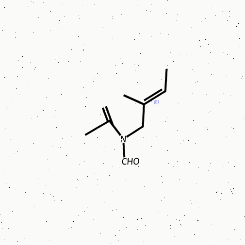 C=C(C)N(C=O)C/C(C)=C/C